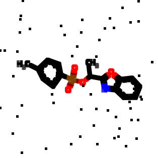 Cc1ccc(S(=O)(=O)OC(C)c2nc3ccccc3o2)cc1